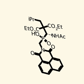 CCOC(=O)C(CC(C)C)(C(=O)OCC)[C@H](NC(C)=O)P(=O)(O)CN1C(=O)c2cccc3cccc(c23)C1=O